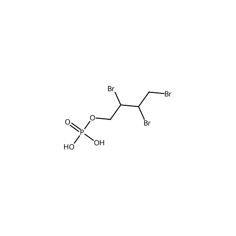 O=P(O)(O)OCC(Br)C(Br)CBr